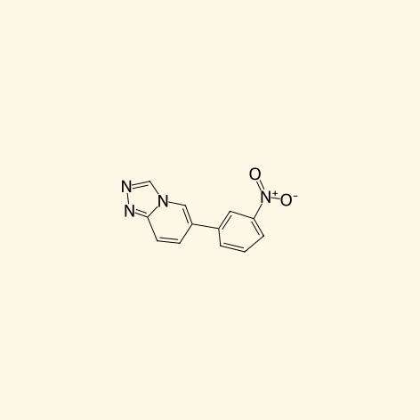 O=[N+]([O-])c1cccc(-c2ccc3nncn3c2)c1